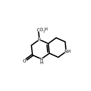 O=C1CN(C(=O)O)C2=C(CNCC2)N1